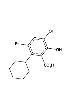 CCc1cc(O)c(O)c(C(=O)O)c1C1CCCCC1